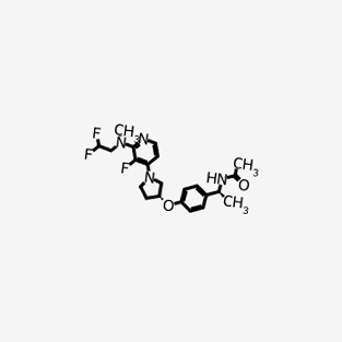 CC(=O)N[C@@H](C)c1ccc(O[C@@H]2CCN(c3ccnc(N(C)CC(F)F)c3F)C2)cc1